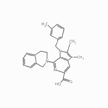 Cc1cccc(Cn2c(C)c(C)c3cc(C(=O)O)nc(N4CCc5ccccc5C4)c32)c1